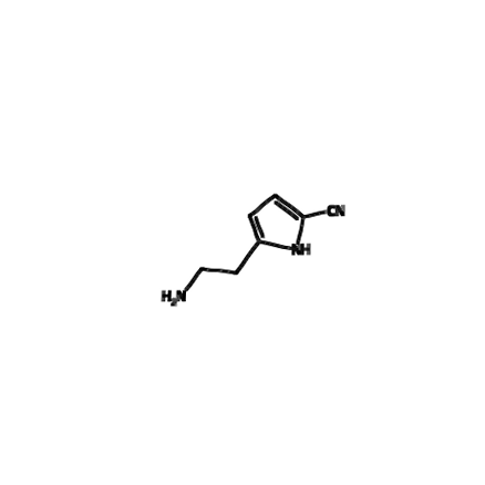 N#Cc1ccc(CCN)[nH]1